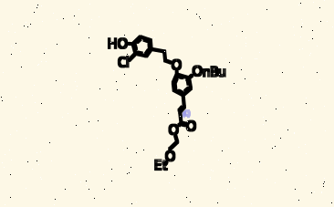 CCCCOc1cc(/C=C/C(=O)OCCOCC)ccc1OCCc1ccc(O)c(Cl)c1